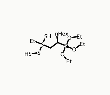 CCCCCCC(CS(S)(CC)SS)[Si](OCC)(OCC)OCC